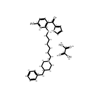 CC(C)c1ccc(C(=O)c2cccs2)c(SCCCCCCN2CCC(Cc3ccccc3)CC2)n1.O=C(O)C(=O)O